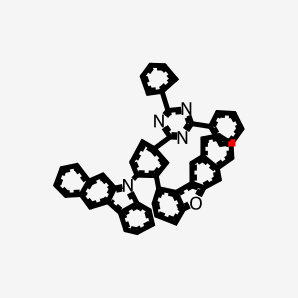 c1ccc(-c2nc(-c3ccccc3)nc(-c3ccc(-n4c5ccccc5c5cc6ccccc6cc54)c(-c4cccc5oc6cc7ccccc7cc6c45)c3)n2)cc1